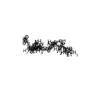 CCC(O)C(C)[C@H]1O[C@@H]1CC(C)(O)/C=C/C=C(\C)[C@H]1OC(=O)C[C@H](O)CC[C@@](C)(OC(C)=O)[C@@H](OC(=O)N2CCN(C(=O)OCc3ccc(NC(=O)C(CC(N)=O)NC(=O)C(C)NC(=O)C(C)NC(=O)CCCCCN4C(=O)C=CC4=O)cc3)CC2)/C=C/[C@@H]1C